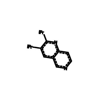 CC(C)c1cc2cnccc2nc1C(C)C